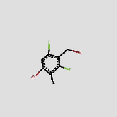 Cc1c(Br)cc(F)c(CBr)c1F